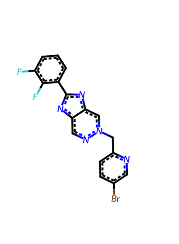 Fc1cccc(-c2nc3cnn(Cc4ccc(Br)cn4)cc-3n2)c1F